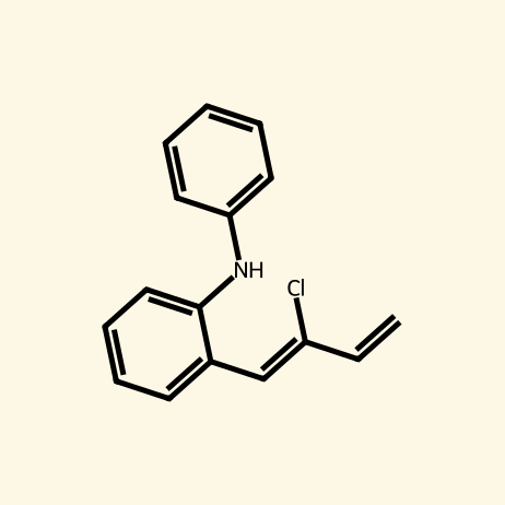 C=C/C(Cl)=C/c1ccccc1Nc1ccccc1